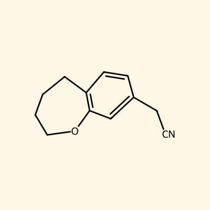 N#CCc1ccc2c(c1)OCCCC2